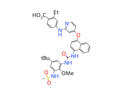 CCc1cc(Nc2cc(Oc3ccc(NC(=O)Nc4cc(C(C)(C)C)cc(NS(C)(=O)=O)c4OC)c4ccccc34)ccn2)ccc1C(=O)O